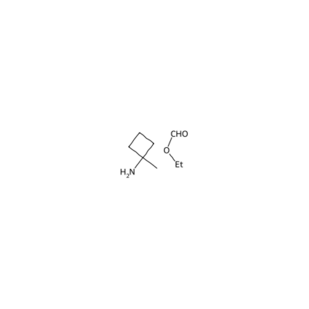 CC1(N)CCC1.CCOC=O